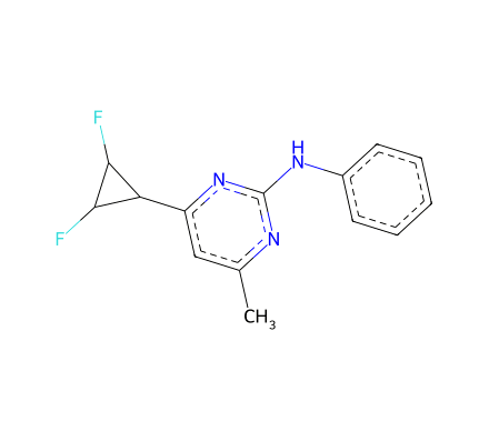 Cc1cc(C2C(F)C2F)nc(Nc2ccccc2)n1